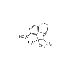 CC1=[N+]2CCCc3ccc(S(=O)(=O)O)c(c32)C1(C)C